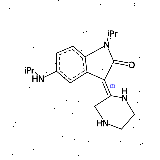 CC(C)Nc1ccc2c(c1)/C(=C1\CNCCN1)C(=O)N2C(C)C